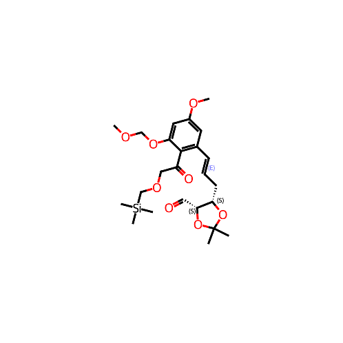 COCOc1cc(OC)cc(/C=C/C[C@@H]2OC(C)(C)O[C@@H]2C=O)c1C(=O)COC[Si](C)(C)C